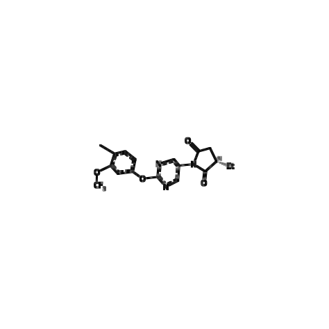 CC[C@H]1CC(=O)N(c2cnc(Oc3ccc(C)c(OC(F)(F)F)c3)nc2)C1=O